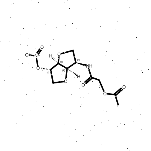 CC(=O)OCC(=O)N[C@@H]1CO[C@H]2[C@@H]1OC[C@@H]2O[N+](=O)[O-]